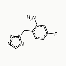 Nc1cc(F)ccc1Cn1ncnn1